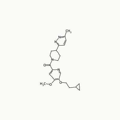 COc1cc(C(=O)N2CCC(c3ccc(C)nn3)CC2)ncc1OCCC1CC1